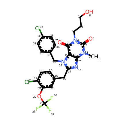 Cn1c(=O)n(CCCO)c(=O)c2c1nc(Cc1ccc(Cl)c(OC(F)(F)F)c1)n2Cc1ccc(Cl)cc1